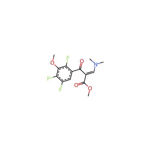 COC(=O)/C(=C/N(C)C)C(=O)c1cc(F)c(F)c(OC)c1F